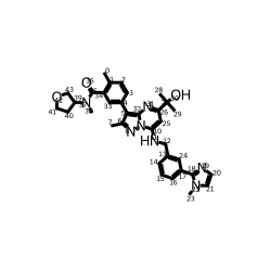 Cc1ccc(-c2c(C)nn3c(NCc4cccc(-c5nccn5C)c4)cc(C(C)(C)O)nc23)cc1C(=O)N(C)C1CCOC1